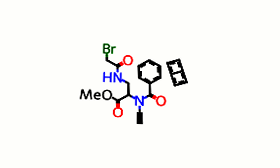 C#CN(C(=O)c1ccccc1)C(CNC(=O)CBr)C(=O)OC.c1cc2ccc1-2